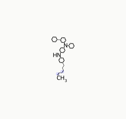 C/C=C\C=C/CCc1ccc(Nc2ccc(N(c3ccccc3)c3cccc(-c4ccccc4)c3)cc2)cc1